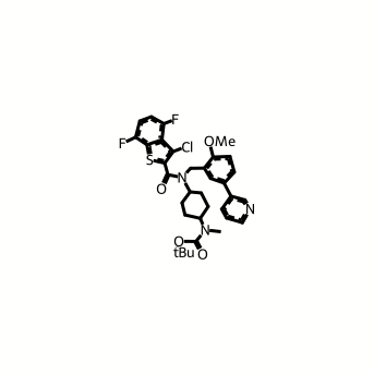 COc1ccc(-c2cccnc2)cc1CN(C(=O)c1sc2c(F)ccc(F)c2c1Cl)C1CCC(N(C)C(=O)OC(C)(C)C)CC1